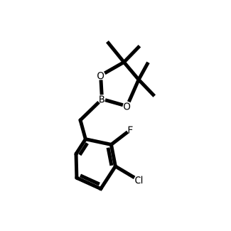 CC1(C)OB(Cc2cccc(Cl)c2F)OC1(C)C